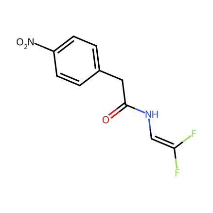 O=C(Cc1ccc([N+](=O)[O-])cc1)NC=C(F)F